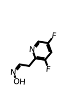 O/N=C\Cc1ncc(F)cc1F